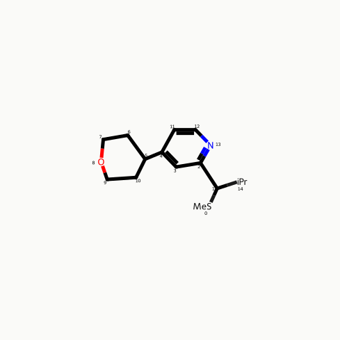 CSC(c1cc(C2CCOCC2)ccn1)C(C)C